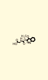 COc1c(OC(=O)NCC(=O)O)nnc2ccccc12